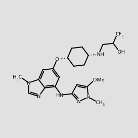 COc1cc(Nc2cc(O[C@H]3CC[C@@H](NCC(O)C(F)(F)F)CC3)cc3c2ncn3C)nn1C